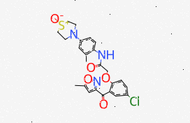 Cc1cc(C(=O)c2cc(Cl)ccc2OCC(=O)Nc2ccc(N3CC[S+]([O-])CC3)cc2C)no1